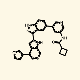 O=C(Nc1cncc(-c2ccc3[nH]nc(-c4cc5c(-c6ccoc6)cncc5[nH]4)c3c2)c1)C1CCC1